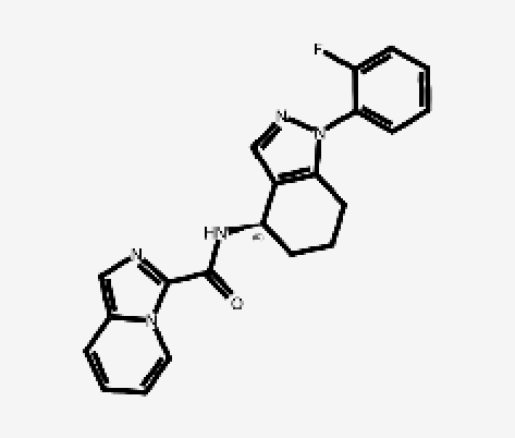 O=C(N[C@@H]1CCCc2c1cnn2-c1ccccc1F)c1ncc2ccccn12